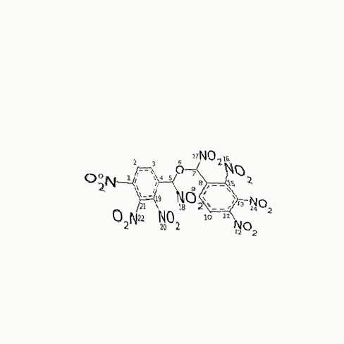 O=[N+]([O-])c1ccc(C(OC(c2ccc([N+](=O)[O-])c([N+](=O)[O-])c2[N+](=O)[O-])[N+](=O)[O-])[N+](=O)[O-])c([N+](=O)[O-])c1[N+](=O)[O-]